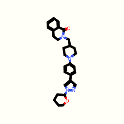 O=C1c2ccccc2CCN1CC1CCN(c2ccc(-c3cnn(C4CCCCO4)c3)cc2)CC1